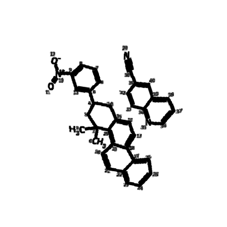 CC1(C)CC(c2cccc([N+](=O)[O-])c2)Cc2ccc3c(ccc4ccccc43)c21.N#Cc1ccc2ncccc2c1